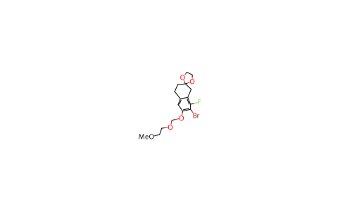 COCCOCOc1cc2c(c(F)c1Br)CC1(CC2)OCCO1